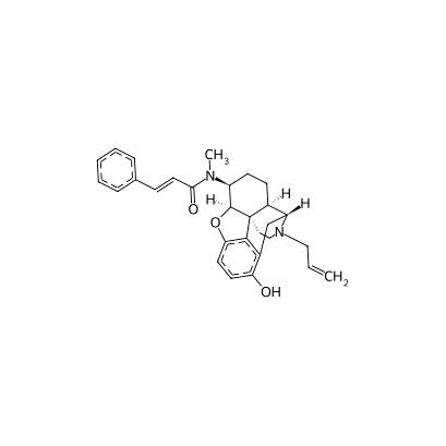 C=CCN1CC[C@@]23c4c5ccc(O)c4C[C@@H]1[C@@H]2CC[C@H](N(C)C(=O)C=Cc1ccccc1)[C@@H]3O5